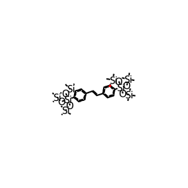 C[Si](C)(C)O[Si](O[Si](C)(C)C)(O[Si](C)(C)C)c1ccc(C=Cc2ccc([Si](O[Si](C)(C)C)(O[Si](C)(C)C)O[Si](C)(C)C)cc2)cc1